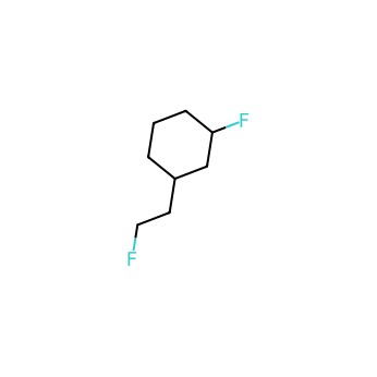 FCCC1CCCC(F)C1